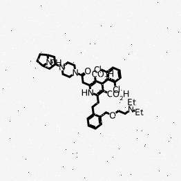 CCN(CC)CCOCc1ccccc1CCC1=C(C(=O)O)C(c2c(Cl)cccc2Cl)C(C(=O)O)=C(CC(=O)N2CCN(C3CC4CCC(C3)N4C)CC2)N1